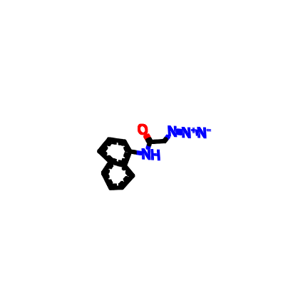 [N-]=[N+]=NCC(=O)Nc1cccc2ccccc12